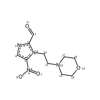 O=Cc1ncc([N+](=O)[O-])n1CCN1CCOCC1